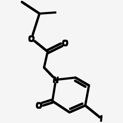 CC(C)OC(=O)Cn1ccc(I)cc1=O